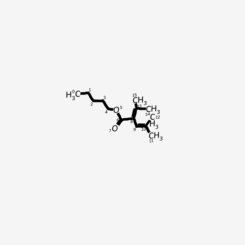 CCCCCOC(=O)C(C=C(C)C)=C(C)C